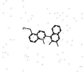 Cc1cc2ccccc2c(-c2ccc3c(CC(C)C)cccc3[n+]2C)c1C